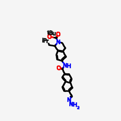 CC(C)CC1c2ccc(NC(=O)c3ccc4cc(C=NN)ccc4c3)cc2CCN1C(=O)OC(C)(C)C